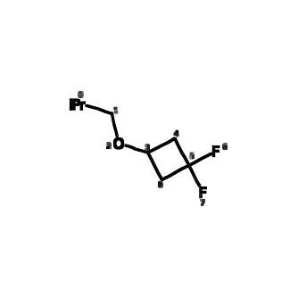 CC(C)COC1CC(F)(F)C1